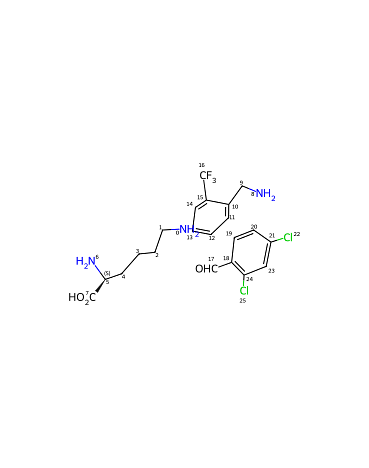 NCCCC[C@H](N)C(=O)O.NCc1ccccc1C(F)(F)F.O=Cc1ccc(Cl)cc1Cl